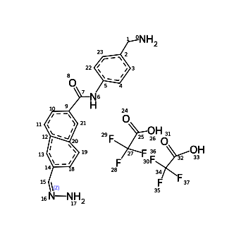 NCc1ccc(NC(=O)c2ccc3cc(/C=N\N)ccc3c2)cc1.O=C(O)C(F)(F)F.O=C(O)C(F)(F)F